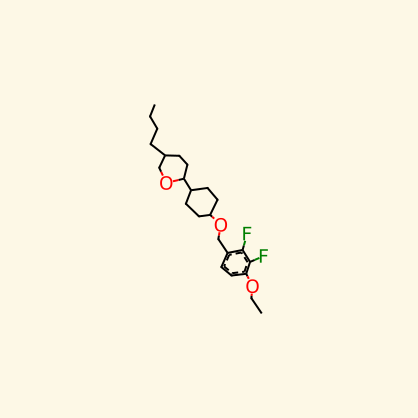 CCCCC1CCC(C2CCC(OCc3ccc(OCC)c(F)c3F)CC2)OC1